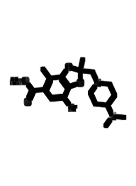 COC(=O)c1cc(Br)c2c(c1C)OC(C)(CN1CCC(N(C)C)CC1)O2